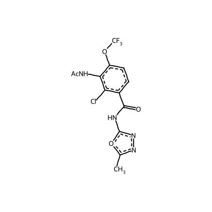 CC(=O)Nc1c(OC(F)(F)F)ccc(C(=O)Nc2nnc(C)o2)c1Cl